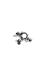 COc1cnc(O[C@@H]2C[C@H]3C(=O)N[C@]4(C(=O)NS(=O)(=O)C5(CO)CC5)C[C@H]4/C=C\CC[C@@H](C)C[C@@H](C)[C@H](NC(=O)OC(C)(C)C(F)(F)F)C(=O)N3C2)c2ccccc12